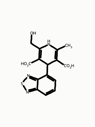 CC1=C(C(=O)O)C(c2cccc3nsnc23)C(C(=O)O)=C(CO)N1